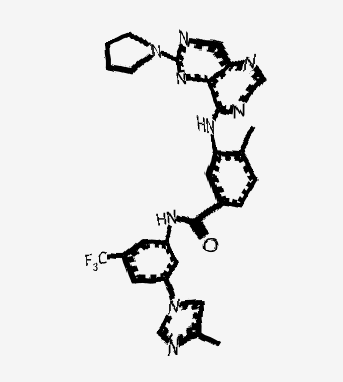 Cc1cn(-c2cc(NC(=O)c3ccc(C)c(Nc4ncnc5cnc(N6CCCC6)nc45)c3)cc(C(F)(F)F)c2)cn1